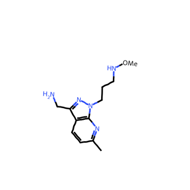 CONCCCn1nc(CN)c2ccc(C)nc21